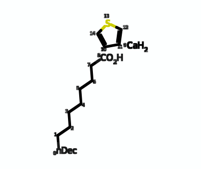 CCCCCCCCCCCCCCCCCC(=O)O.[CaH2].c1ccsc1